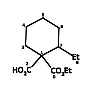 CCOC(=O)C1(C(=O)O)CCCCC1CC